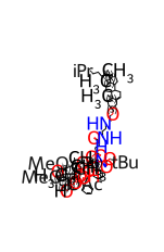 CO[C@H]1C(=O)[C@]2(C)[C@@H](OC)C[C@H]3OC[C@@]3(OC(C)=O)[C@H]2[C@H](OC(=O)c2ccccc2)[C@]2(O)C[C@H](OC(=O)[C@H](OC(=O)CCC(=O)NCCNCCO[C@H]3CC[C@@]4(C)C(=CCC5C4CC[C@@]4(C)C5CC[C@@H]4[C@H](C)CCCC(C)C)C3)[C@@H](NC(=O)OC(C)(C)C)c3ccccc3)C(C)=C1C2(C)C